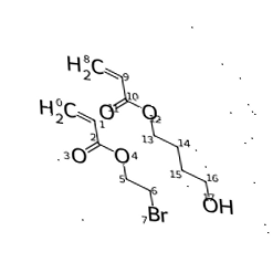 C=CC(=O)OCCBr.C=CC(=O)OCCCCO